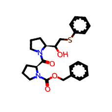 O=C(OCc1ccccc1)N1CCC[C@H]1C(=O)N1CCC[C@H]1C(O)CSc1ccccc1